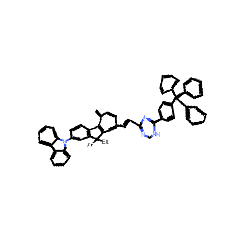 C=C1C=CC(/C=C/C2=NCNC(c3ccc(C(c4ccccc4)(c4ccccc4)c4ccccc4)cc3)=N2)=CC2=C1c1ccc(-n3c4ccccc4c4ccccc43)cc1C2(CC)CC